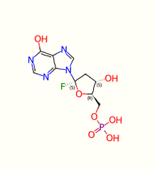 O=P(O)(O)OC[C@H]1O[C@@](F)(n2cnc3c(O)ncnc32)C[C@@H]1O